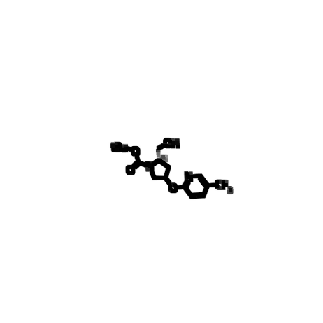 CC(C)(C)OC(=O)N1CC(Oc2ccc(C(F)(F)F)cn2)C[C@H]1CO